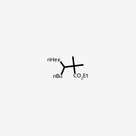 CCCCCCC(CCCC)C(C)(C)C(=O)OCC